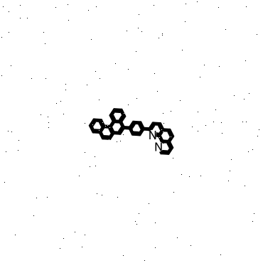 c1ccc2c(c1)ccc1cc(-c3ccc(-c4ccc5ccc6cccnc6c5n4)cc3)c3ccccc3c12